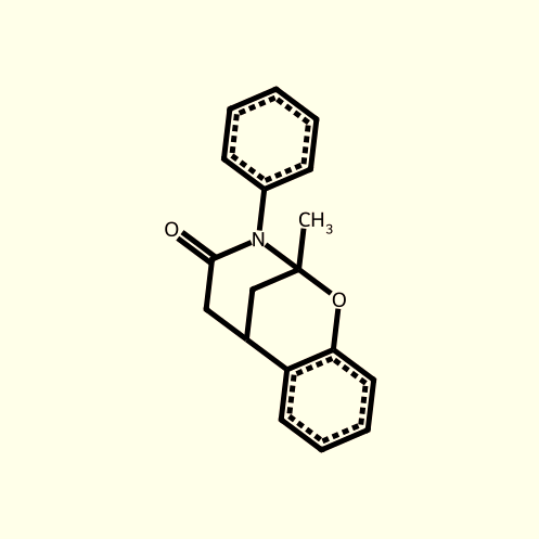 CC12CC(CC(=O)N1c1ccccc1)c1ccccc1O2